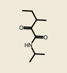 CCC(C)C(=O)C(=O)NC(C)C